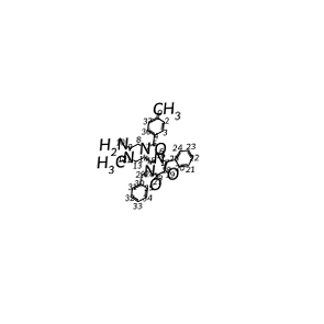 Cc1ccc(C(=O)N2CC(N)N(C)CC2c2nc3c(oc4ccccc43)c(=O)n2Cc2ccccc2)cc1